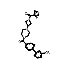 O=C(c1ccc(-c2cccc(C(F)(F)F)c2)cc1)N1CCN(C2CN(C(=O)c3cscn3)C2)CC1